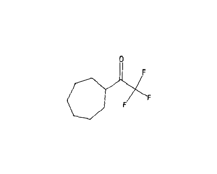 O=C(C1CCCCCC1)C(F)(F)F